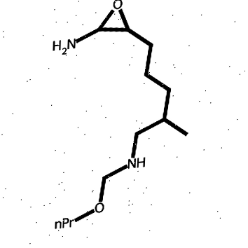 CCCOCNCC(C)CCCC1OC1N